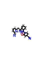 N#Cc1ccc2c(-c3ccccc3[C@@H](N)Cc3cccc(C#N)n3)noc2c1